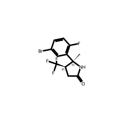 C[C@]1(c2cc(Br)ccc2F)NC(=O)C[C@H]1C(F)(F)F